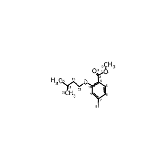 COC(=O)c1ccc(I)cc1OCCC(C)C